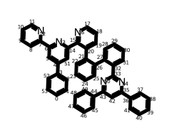 c1ccc(-c2cc(-c3ccccn3)nc(-c3ncccc3-c3ccccc3-c3ccccc3-c3nc(-c4ccccc4)cc(-c4ccccc4)n3)c2)cc1